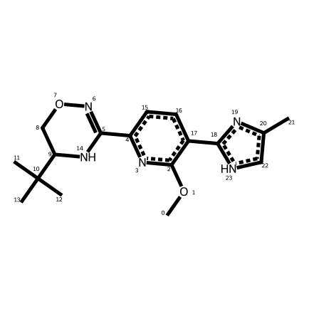 COc1nc(C2=NOCC(C(C)(C)C)N2)ccc1-c1nc(C)c[nH]1